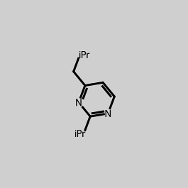 CC(C)Cc1ccnc(C(C)C)n1